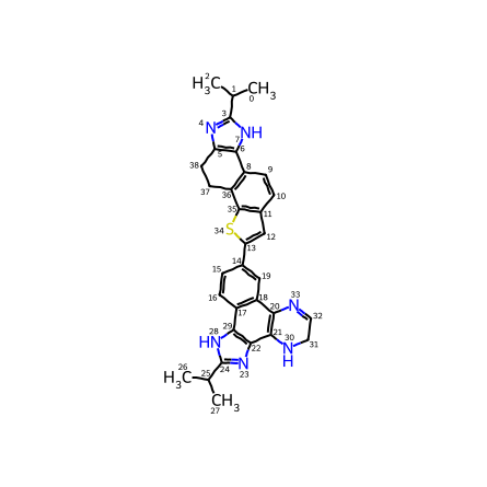 CC(C)c1nc2c([nH]1)-c1ccc3cc(-c4ccc5c(c4)c4c(c6nc(C(C)C)[nH]c65)NCC=N4)sc3c1CC2